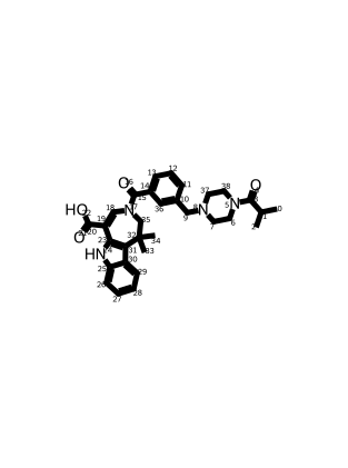 CC(C)C(=O)N1CCN(Cc2cccc(C(=O)N3C=C(C(=O)O)c4[nH]c5ccccc5c4C(C)(C)C3)c2)CC1